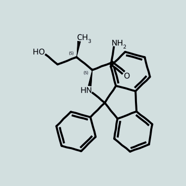 C[C@H](CO)[C@H](NC1(c2ccccc2)c2ccccc2-c2ccccc21)C(N)=O